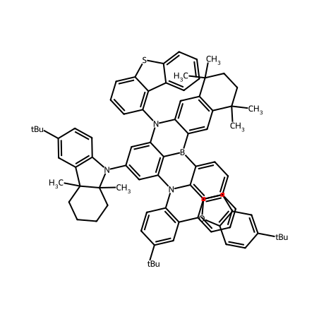 CC(C)(C)c1ccc(N2c3cc(N4c5ccc(C(C)(C)C)cc5C5(C)CCCCC45C)cc4c3B(c3cc5c(cc3N4c3cccc4sc6ccccc6c34)C(C)(C)CCC5(C)C)c3ccc4c(oc5ccc(C(C)(C)C)cc54)c32)c(-c2ccccc2)c1